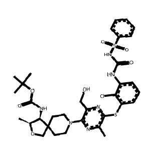 Cc1nc(N2CCC3(CC2)CO[C@@H](C)[C@H]3NC(=O)OC(C)(C)C)c(CO)nc1Sc1cccc(NC(=O)NS(=O)(=O)c2ccccc2)c1Cl